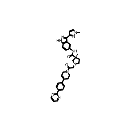 Cn1ccc(-c2n[nH]c3ccc(NC(=O)[C@]4(C)CCN(CC(=O)N5CC=C(c6ccc(-c7ncccn7)cc6)CC5)C4)cc23)n1